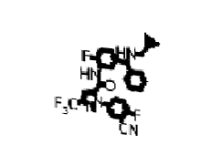 N#Cc1cc(-n2nc(C(F)(F)F)cc2C(=O)Nc2cc(C(NCC3CC3)c3ccccc3)ccc2F)ccc1F